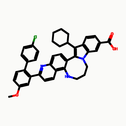 COc1ccc(-c2ccc(Cl)cc2)c(-c2ccc3c4c(ccc3n2)-c2c(C3CCCCC3)c3ccc(C(=O)O)cc3n2CCCN4)c1